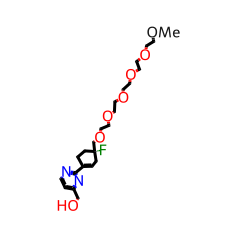 COCCOCCOCCOCCOCCOC[C@@]1(F)CC=C(c2nccc(CO)n2)CC1